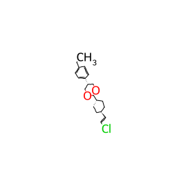 CCc1ccc([C@H]2CO[C@H]([C@H]3CC[C@H](/C=C/Cl)CC3)OC2)cc1